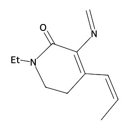 C=NC1=C(/C=C\C)CCN(CC)C1=O